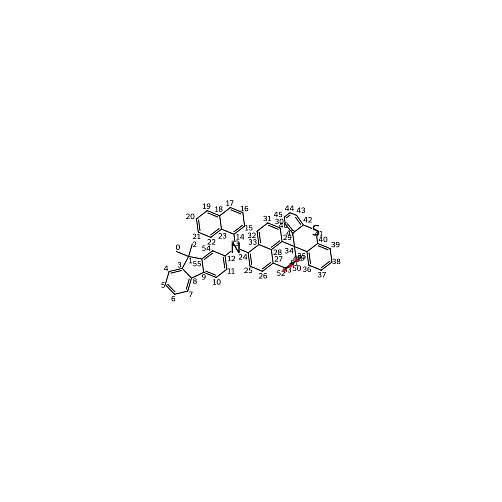 CC1(C)c2ccccc2-c2ccc(N(c3cccc4ccccc34)c3ccc4c5c(cccc35)C3(c5ccccc5Sc5ccccc53)c3ccccc3-4)cc21